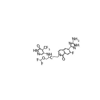 Nc1nc(-c2cc3ccn(CCCC(COC(F)F)Nc4cn[nH]c(=O)c4C(F)(F)F)c(=O)c3cc2F)n[nH]1